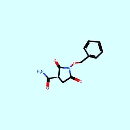 NC(=O)[C@@H]1CC(=O)N(OCc2ccccc2)C1=O